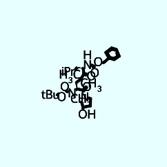 CC(C)C[C@H](NC(=O)OCc1ccccc1)C(=O)C(C)(C)C[C@@H](C(=O)N1CCC(O)C1)N(C)C(=O)OC(C)(C)C